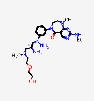 CCNc1ncc2c(n1)N(C)CCN(c1cccc(N(N)/C=C(\N)CN(C)CCOCCO)c1)C2=O